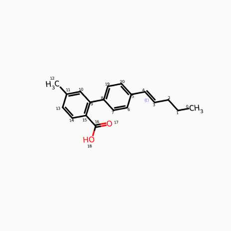 CCC/C=C/c1ccc(-c2cc(C)ccc2C(=O)O)cc1